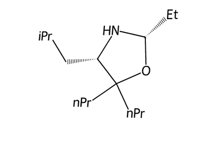 CCCC1(CCC)O[C@@H](CC)N[C@H]1CC(C)C